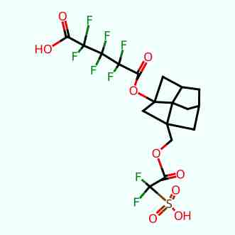 O=C(O)C(F)(F)C(F)(F)C(F)(F)C(=O)OC12CC3CC4CC(COC(=O)C(F)(F)S(=O)(=O)O)(C1)C32C4